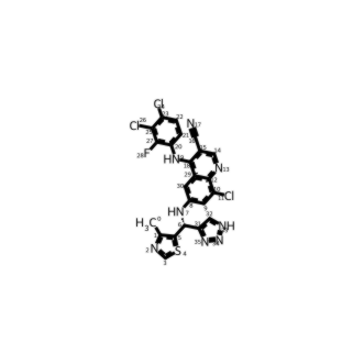 Cc1ncsc1[C@H](Nc1cc(Cl)c2ncc(C#N)c(Nc3ccc(Cl)c(Cl)c3F)c2c1)c1c[nH]nn1